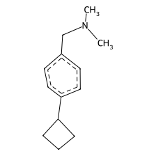 CN(C)Cc1ccc(C2CCC2)cc1